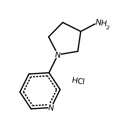 Cl.NC1CCN(c2cccnc2)C1